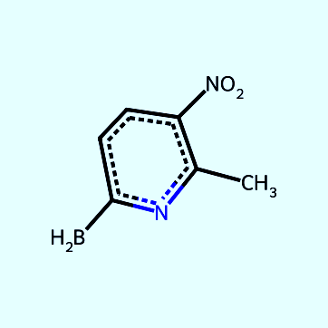 Bc1ccc([N+](=O)[O-])c(C)n1